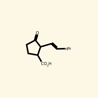 CCCC=CC1C(=O)CCC1C(=O)O